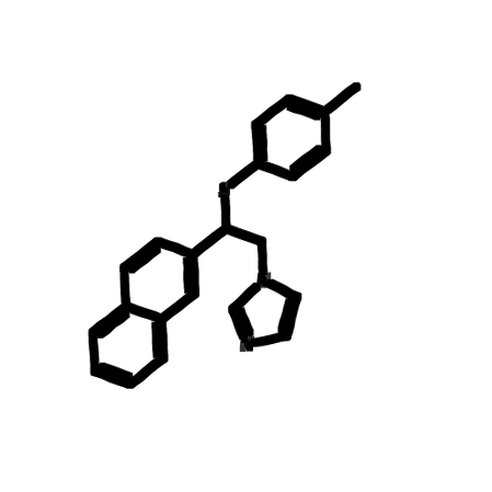 Cc1ccc(SC(Cn2ccnc2)c2ccc3ccccc3c2)cc1